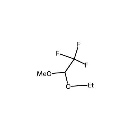 CCOC(OC)C(F)(F)F